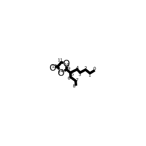 CCCCCC(CCC)C1OCC(=O)O1